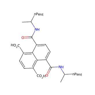 CCCCCC(C)NC(=O)c1ccc(C(=O)NC(C)CCCCC)c2c(C(=O)O)ccc(C(=O)O)c12